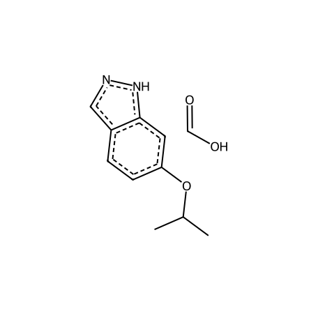 CC(C)Oc1ccc2cn[nH]c2c1.O=CO